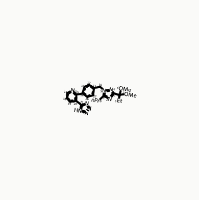 CCCc1nc(C(CC)(OC)OC)nn1Cc1ccc(-c2ncccc2-c2nnn[nH]2)cc1